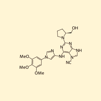 COc1cc(-n2cnc(Nc3nc(N4CCC[C@H]4CO)nc4[nH]c[n+](C#N)c34)c2)cc(OC)c1OC